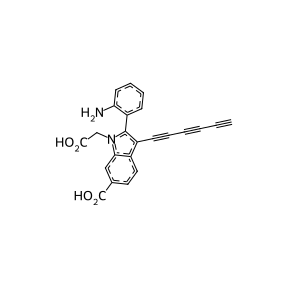 C#CC#CC#Cc1c(-c2ccccc2N)n(CC(=O)O)c2cc(C(=O)O)ccc12